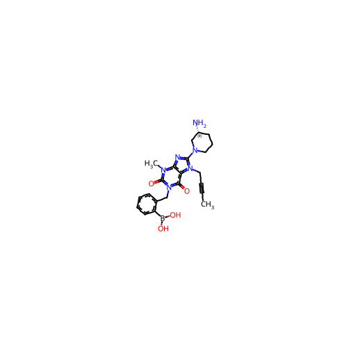 CC#CCn1c(N2CCC[C@@H](N)C2)nc2c1c(=O)n(Cc1ccccc1B(O)O)c(=O)n2C